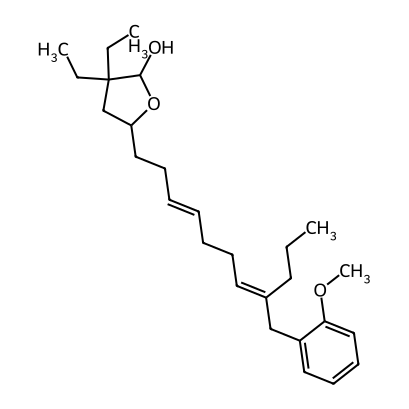 CCC/C(=C\CC/C=C/CCC1CC(CC)(CC)C(O)O1)Cc1ccccc1OC